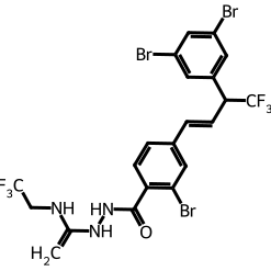 C=C(NCC(F)(F)F)NNC(=O)c1ccc(/C=C/C(c2cc(Br)cc(Br)c2)C(F)(F)F)cc1Br